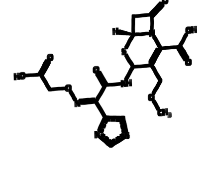 COCC1=C(C(=O)O)N2C(=O)C[C@H]2SC1NC(=O)/C(=N\OCC(=O)O)c1cscn1